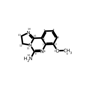 COc1cccc2c1N=C(N)N1CCN=C21